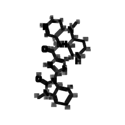 CN(c1ccncc1NC(=O)c1csc(-n2c(=O)n(C)c3ccccc32)n1)C1CCNCC1